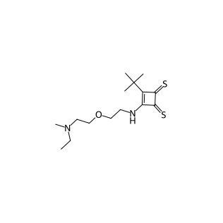 CCN(C)CCOCCNc1c(C(C)(C)C)c(=S)c1=S